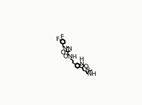 Cc1nc(C=C2C(=O)Nc3cc(C=CCNC(=O)c4cncn(Cc5ccc(F)c(F)c5)c4=O)ccc32)c[nH]1